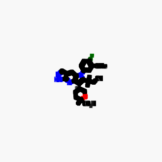 COc1cc(-n2c(C(C)(C)CC#N)c([C@H]3CC[C@](C)(C(=O)O)OC3)c3nc4[nH]ncc4cc32)ccc1F